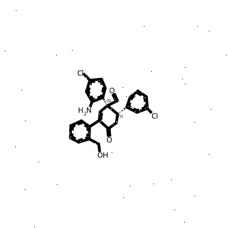 Nc1cc(Cl)ccc1[C@@]1(C=O)C=C(c2ccccc2CO)C(=O)C[C@H]1c1cccc(Cl)c1